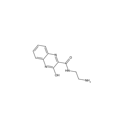 NCCNC(=O)c1nc2ccccc2nc1O